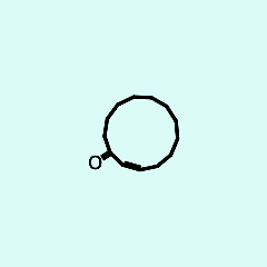 O=C1/C=C\CCCCCCCCCC1